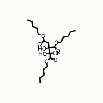 CCCCCOC(=O)CC(O)(C(=O)OCCCCC)C(O)(O)C(=O)OCCCCC